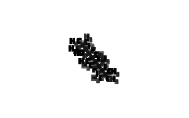 CC(C)(C)C(O)(F)C(F)(F)C(C)(C)C(C)(C)C(F)(F)C(F)(F)C(C)(C)C